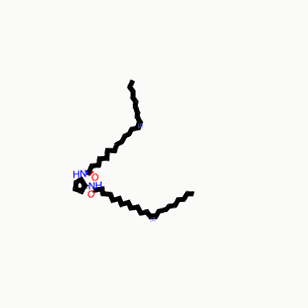 CCCCCCCC/C=C\CCCCCCCCCCCC(=O)N[C@H]1CCC[C@H]1NC(=O)CCCCCCCCCCC/C=C\CCCCCCCC